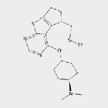 CCSCC1CCc2sc3ncnc(O[C@H]4CC[C@H](N(C)C)CC4)c3c21